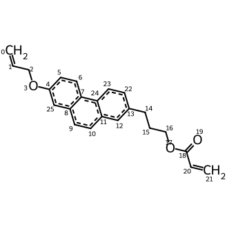 C=CCOc1ccc2c(ccc3cc(CCCOC(=O)C=C)ccc32)c1